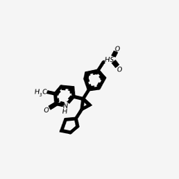 Cc1ccc(C2(c3ccc(C[SH](=O)=O)cc3)CC2C2CCCC2)[nH]c1=O